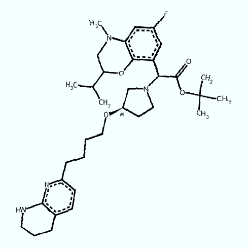 CC(C)C1CN(C)c2cc(F)cc(C(C(=O)OC(C)(C)C)N3CC[C@@H](OCCCCc4ccc5c(n4)NCCC5)C3)c2O1